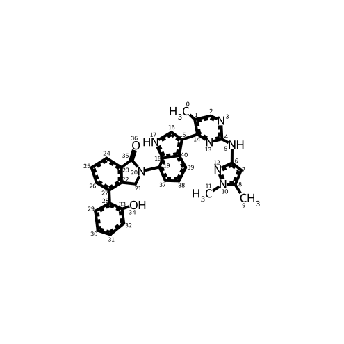 Cc1cnc(Nc2cc(C)n(C)n2)nc1-c1c[nH]c2c(N3Cc4c(cccc4-c4ccccc4O)C3=O)cccc12